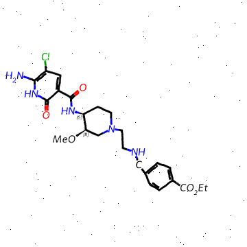 CCOC(=O)c1ccc(CNCCN2CC[C@H](NC(=O)c3cc(Cl)c(N)[nH]c3=O)[C@H](OC)C2)cc1